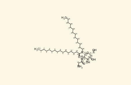 CCCCCCCCCCCCCCCC(=O)N(CCCCCCCCCCCCCC)[C@@H]1O[C@H](CO)[C@@H](O)[C@H](O)[C@H]1NC(=O)CN